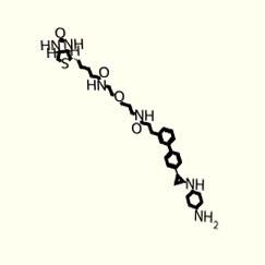 N[C@H]1CC[C@H](N[C@@H]2C[C@H]2c2ccc(-c3cccc(CCC(=O)NCCCOCCNC(=O)CCCC[C@@H]4SC[C@@H]5NC(=O)N[C@@H]54)c3)cc2)CC1